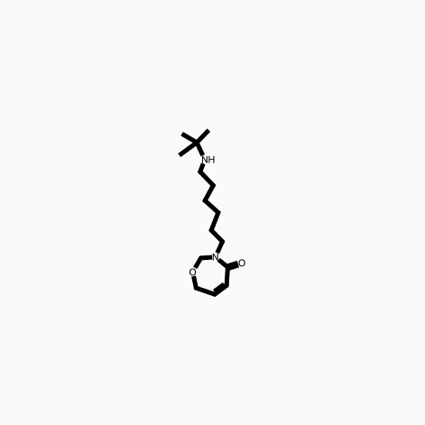 CC(C)(C)NCCCCCCN1COCC=CC1=O